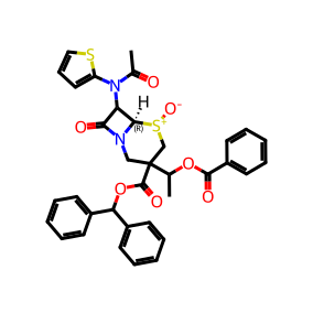 CC(=O)N(c1cccs1)C1C(=O)N2CC(C(=O)OC(c3ccccc3)c3ccccc3)(C(C)OC(=O)c3ccccc3)C[S+]([O-])[C@H]12